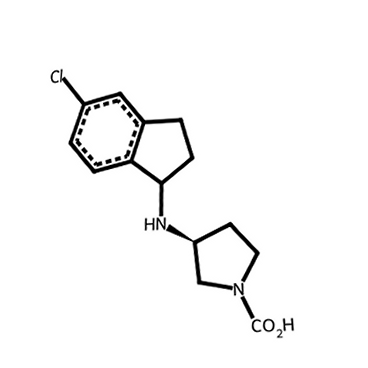 O=C(O)N1CC[C@H](NC2CCc3cc(Cl)ccc32)C1